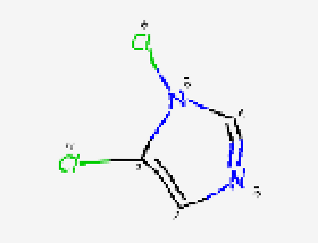 Clc1cncn1Cl